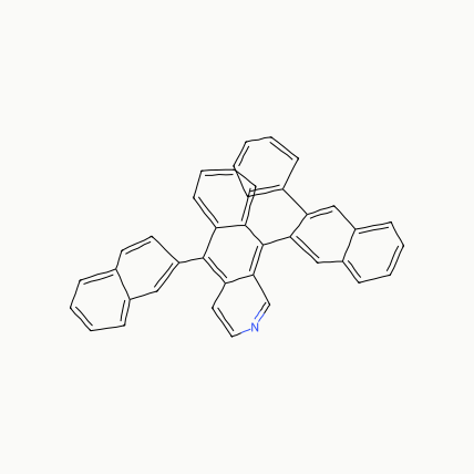 c1ccc(-c2cc3ccccc3cc2-c2c3ccccc3c(-c3ccc4ccccc4c3)c3ccncc23)cc1